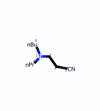 CCCCN(CCC)CCC#N